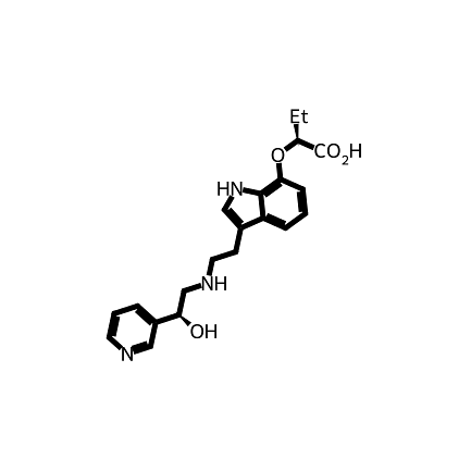 CC[C@H](Oc1cccc2c(CCNC[C@@H](O)c3cccnc3)c[nH]c12)C(=O)O